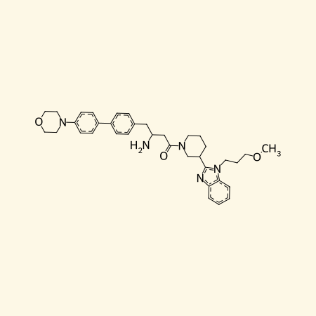 COCCCn1c(C2CCCN(C(=O)CC(N)Cc3ccc(-c4ccc(N5CCOCC5)cc4)cc3)C2)nc2ccccc21